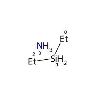 CC[SiH2]CC.N